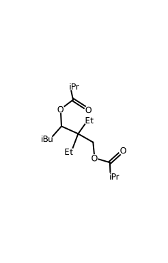 CCC(C)C(OC(=O)C(C)C)C(CC)(CC)COC(=O)C(C)C